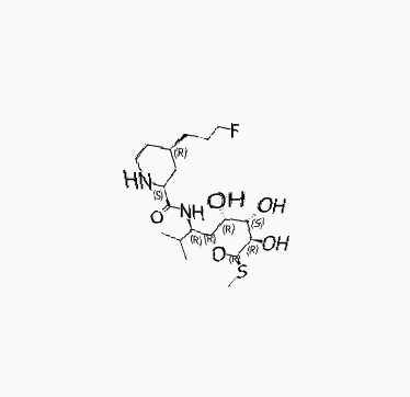 CS[C@H]1O[C@H]([C@H](NC(=O)[C@@H]2C[C@H](CCCF)CCN2)C(C)C)[C@H](O)[C@H](O)[C@H]1O